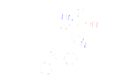 O=C1NC(=O)C(c2cnc(-c3ccc4c(c3)C(=O)c3ccccc3CC4)s2)=C1O